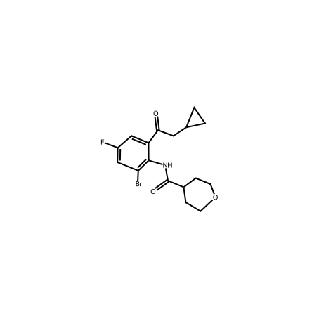 O=C(CC1CC1)c1cc(F)cc(Br)c1NC(=O)C1CCOCC1